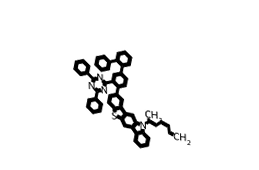 C=C/C=C\C=C(/C)n1c2ccccc2c2cc3sc4ccc(-c5ccc(-c6ccccc6-c6ccccc6)cc5-c5nc(-c6ccccc6)nc(-c6ccccc6)n5)cc4c3cc21